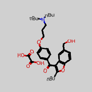 CCCCc1oc2ccc(CO)cc2c1C(=O)c1ccc(OCCCN(CCCC)CCCC)cc1.O=C(O)C(=O)O